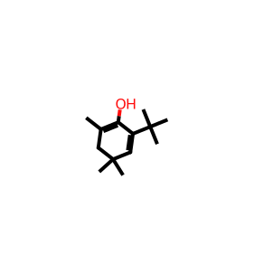 CC1=C(O)C(C(C)(C)C)=CC(C)(C)C1